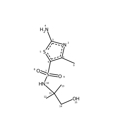 Cc1nc(N)sc1S(=O)(=O)NC(C)(C)CO